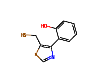 Oc1ccccc1-c1ncsc1CS